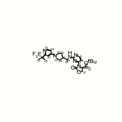 C[C@H](Nc1nccc(N2C(=O)OCC2[C@H](C)OC(C)(C)C)n1)C1CCN(c2ccnc(C(C)(C)C(F)(F)F)c2)CC1